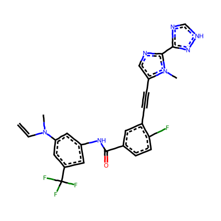 C=CN(C)c1cc(NC(=O)c2ccc(F)c(C#Cc3cnc(-c4nc[nH]n4)n3C)c2)cc(C(F)(F)F)c1